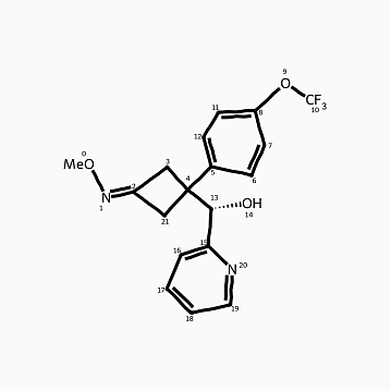 CON=C1CC(c2ccc(OC(F)(F)F)cc2)([C@H](O)c2ccccn2)C1